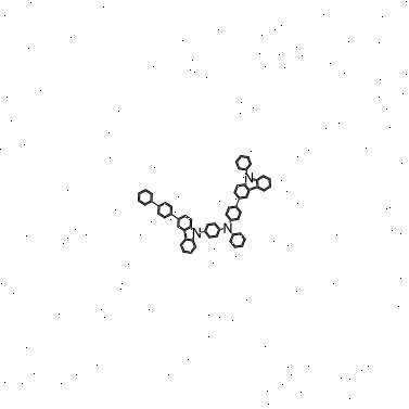 c1ccc(-c2ccc(-c3ccc4c(c3)c3ccccc3n4-c3ccc(N(c4ccccc4)c4ccc(-c5ccc6c(c5)c5ccccc5n6-c5ccccc5)cc4)cc3)cc2)cc1